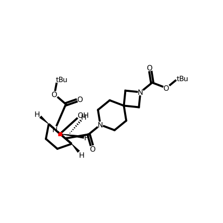 CC(C)(C)OC(=O)N1CC2(CCN(C(=O)[C@H]3[C@@H]4CC[C@@H](C[C@@H]4O)N3C(=O)OC(C)(C)C)CC2)C1